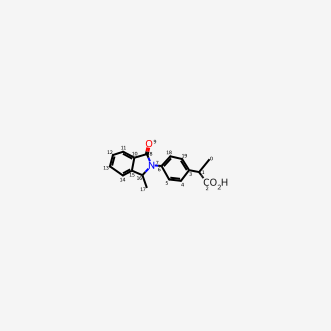 CC(C(=O)O)c1ccc(N2C(=O)c3ccccc3C2C)cc1